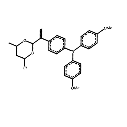 C=C(c1ccc(N(c2ccc(OC)cc2)c2ccc(OC)cc2)cc1)C1OC(C)CC(CC)O1